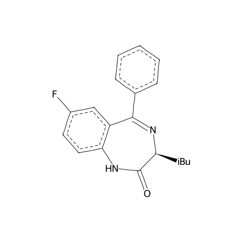 CCC(C)[C@@H]1N=C(c2ccccc2)c2cc(F)ccc2NC1=O